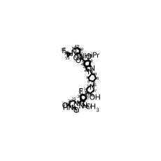 CC(C)Oc1cc2nn([C@H]3CC[C@H](CN4CC[C@H](c5cc6c(cc5F)c(N5CCC(=O)NC5=O)nn6C)[C@H](O)C4)CC3)cc2cc1C(=O)Nc1cccn([C@H]2C[C@H]2F)c1=O